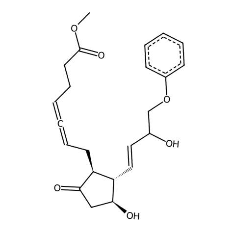 COC(=O)CCC=C=CC[C@@H]1C(=O)C[C@H](O)[C@H]1/C=C/C(O)COc1ccccc1